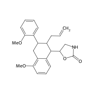 C=CCC1C(c2ccccc2OC)Cc2c(OC)cccc2C1C1CNC(=O)O1